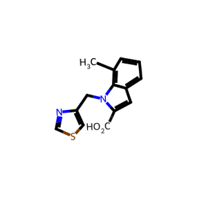 Cc1cccc2cc(C(=O)O)n(Cc3cscn3)c12